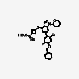 CCc1cc(OCc2ccccc2)c(F)cc1-c1cc(O[C@H]2C[C@H](N(C(=O)O)C(C)(C)C)C2)c2cnn(C3CCCCO3)c2c1